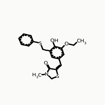 CCOc1cc(/C=C2/SCN(C)C2=O)cc(CSc2ccccc2)c1O